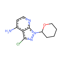 Nc1ccnc2c1c(Cl)nn2C1CCCCO1